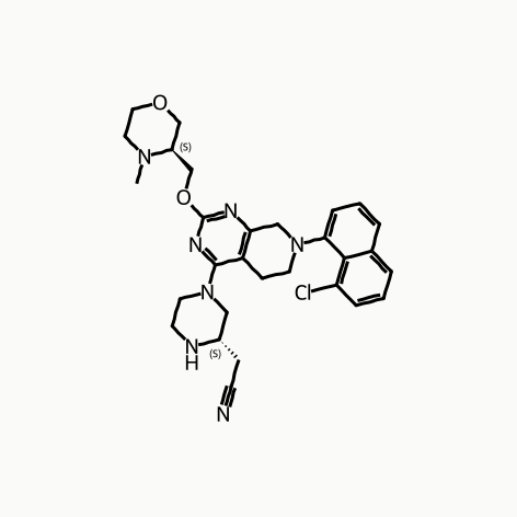 CN1CCOC[C@H]1COc1nc2c(c(N3CCN[C@@H](CC#N)C3)n1)CCN(c1cccc3cccc(Cl)c13)C2